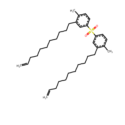 C=CCCCCCCCCCc1cc(S(=O)(=O)c2ccc(C)c(CCCCCCCCCC=C)c2)ccc1C